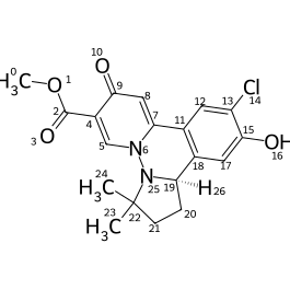 COC(=O)c1cn2c(cc1=O)-c1cc(Cl)c(O)cc1[C@H]1CCC(C)(C)N12